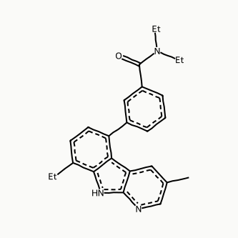 CCc1ccc(-c2cccc(C(=O)N(CC)CC)c2)c2c1[nH]c1ncc(C)cc12